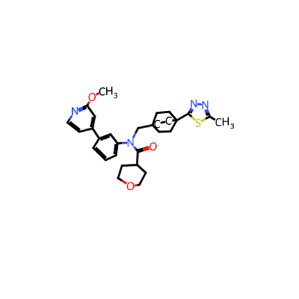 COc1cc(-c2cccc(N(CC34CCC(c5nnc(C)s5)(CC3)CC4)C(=O)C3CCOCC3)c2)ccn1